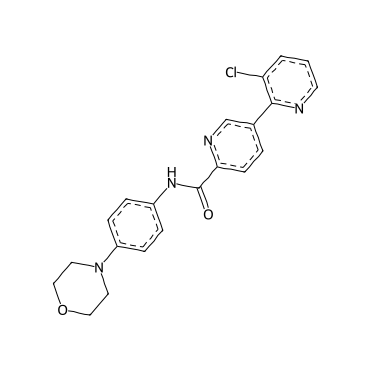 O=C(Nc1ccc(N2CCOCC2)cc1)c1ccc(-c2ncccc2Cl)cn1